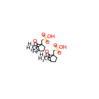 CC1(C)C2CCC1(CS(=O)(=O)O)C(=O)C2.CC1(C)C2CCC1(CS(=O)(=O)O)C(=O)C2.[Fe]